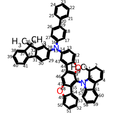 CC1CC=Cc2c1n(-c1c3oc4ccc(N(c5ccc(-c6ccccc6)cc5)c5ccc6c(c5)C(C)(C)c5ccccc5-6)cc4c3cc3oc4ccccc4c13)c1ccccc21